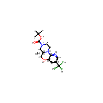 CC(C)(C)OC(=O)N1CCN2c3ncc(C(F)(F)F)cc3OC[C@H]2C1